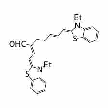 CCN1C(=C/C=C(\C=O)CCC=C/C=C2\Sc3ccccc3N2CC)Sc2ccccc21